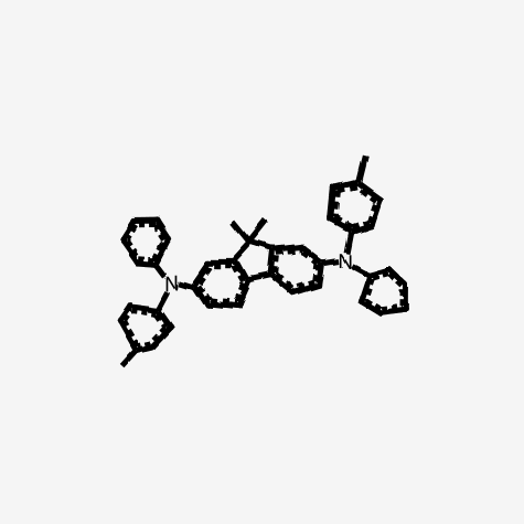 Cc1ccc(N(c2ccccc2)c2ccc3c(c2)C(C)(C)c2cc(N(c4ccccc4)c4ccc(C)cc4)ccc2-3)cc1